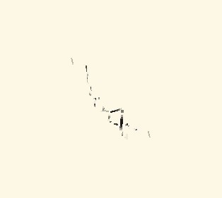 CCCCCCCC1COC(C2CCC(C#N)(CCCC)CC2)OC1